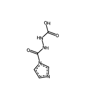 O=C(O)NNC(=O)n1ccnc1